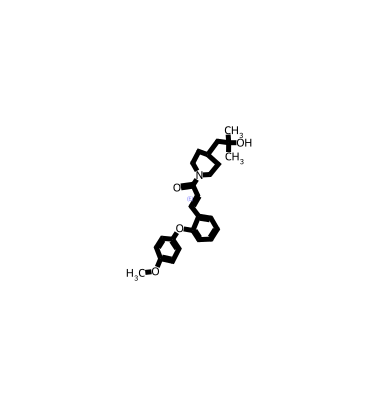 COc1ccc(Oc2ccccc2/C=C/C(=O)N2CCC(CC(C)(C)O)CC2)cc1